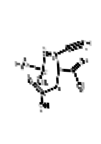 C#CCC(CC(=O)O)(C(=O)O)C(C)(C)C